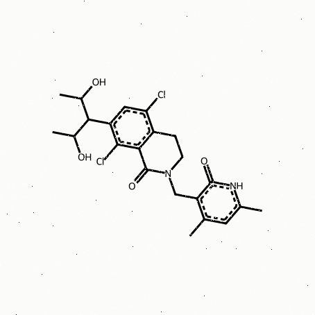 Cc1cc(C)c(CN2CCc3c(Cl)cc(C(C(C)O)C(C)O)c(Cl)c3C2=O)c(=O)[nH]1